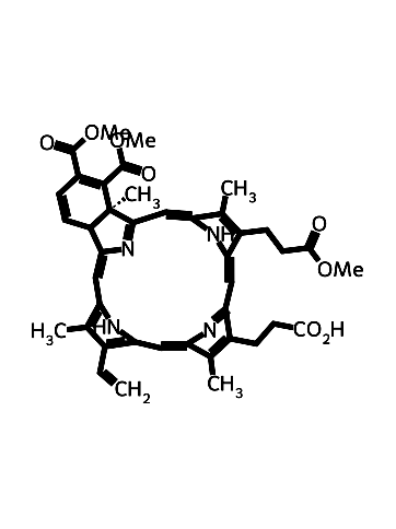 C=Cc1c(C)c2cc3nc(cc4[nH]c(cc5nc(cc1[nH]2)C(C)=C5CCC(=O)O)c(CCC(=O)OC)c4C)[C@]1(C)C(C(=O)OC)=C(C(=O)OC)C=CC31